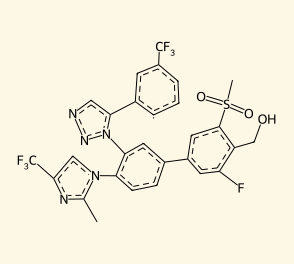 Cc1nc(C(F)(F)F)cn1-c1ccc(-c2cc(F)c(CO)c(S(C)(=O)=O)c2)cc1-n1nncc1-c1[c]ccc(C(F)(F)F)c1